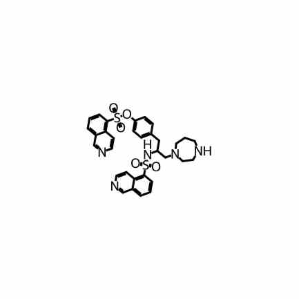 O=S(=O)(NC(Cc1ccc(OS(=O)(=O)c2cccc3cnccc23)cc1)CN1CCCNCC1)c1cccc2cnccc12